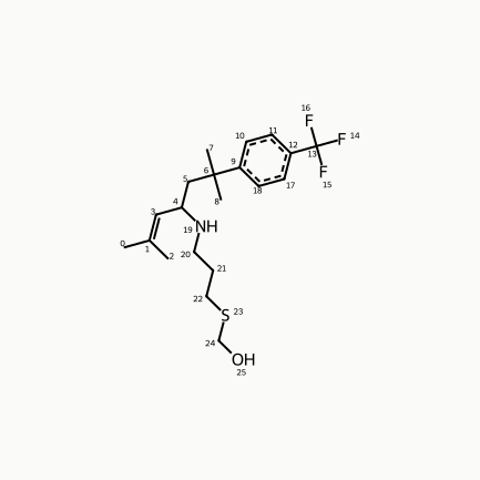 CC(C)=CC(CC(C)(C)c1ccc(C(F)(F)F)cc1)NCCCSCO